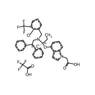 CC[C@@](C)(Oc1cccc2c1ccn2CC(=O)O)N(Cc1cccc(C(F)(F)F)c1Cl)CC(c1ccccc1)c1ccccc1.O=C(O)C(F)(F)F